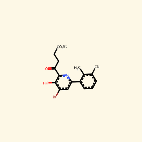 CCOC(=O)CCC(=O)c1nc(-c2cccc(C#N)c2C)cc(Br)c1O